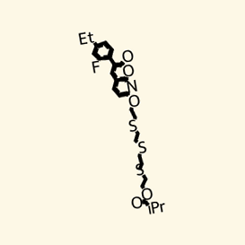 CCc1ccc(-c2cc3ccc(OCCSCCSCCSCCOC(=O)C(C)C)nc3oc2=O)c(F)c1